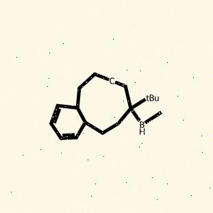 CBC1(C(C)(C)C)CCCCC2C=CC=CC2CC1